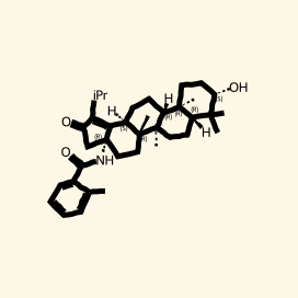 Cc1ccccc1C(=O)N[C@@]12CC[C@]3(C)[C@H](CC[C@@H]4[C@@]5(C)CC[C@H](O)C(C)(C)[C@@H]5CC[C@]43C)C1=C(C(C)C)C(=O)C2